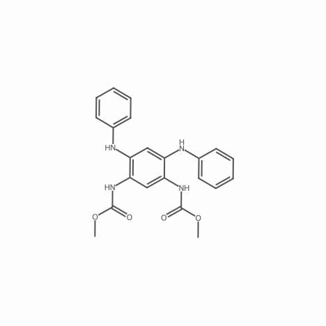 COC(=O)Nc1cc(NC(=O)OC)c(Nc2ccccc2)cc1Nc1ccccc1